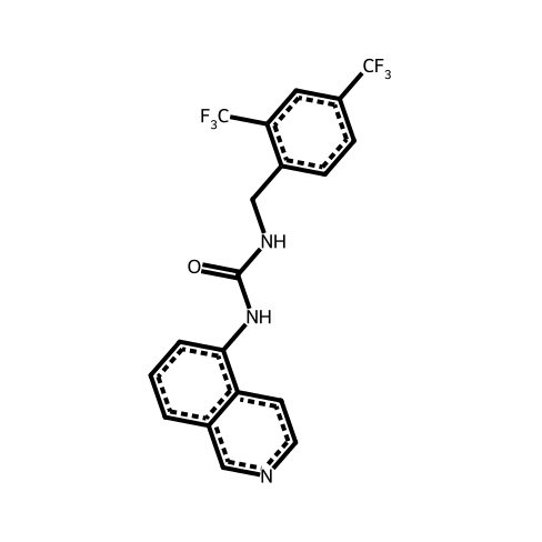 O=C(NCc1ccc(C(F)(F)F)cc1C(F)(F)F)Nc1cccc2cnccc12